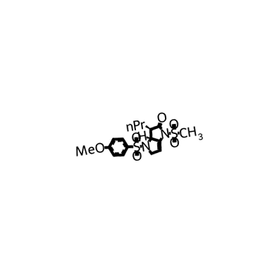 CCC[C@H]1C(=O)N(S(C)(=O)=O)C2=CCN(S(=O)(=O)c3ccc(OC)cc3)[C@@H]21